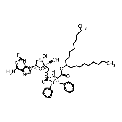 C#C[C@]1(CO[P@](=O)(N[C@@H](Cc2ccccc2)C(=O)OC(CCCCCCCCC)CCCCCCCCC)Oc2ccccc2)O[C@@H](n2cnc3c(N)nc(F)nc32)C[C@@H]1O